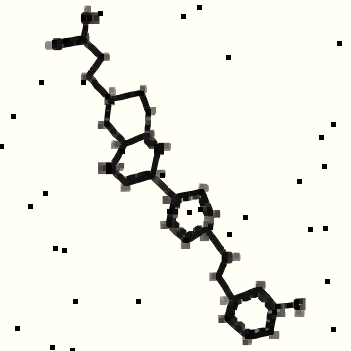 O=C(O)CCN1CCC2=NC(c3ccc(OCc4cccc(Cl)c4)cc3)=CNC2C1